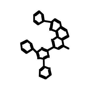 Cc1cc(-c2nc(-c3ccccc3)nc(-c3ccccn3)n2)nc2c1ccc1ccc(-c3ccccc3)nc12